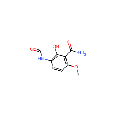 COc1ccc(NC=O)c(O)c1C(N)=O